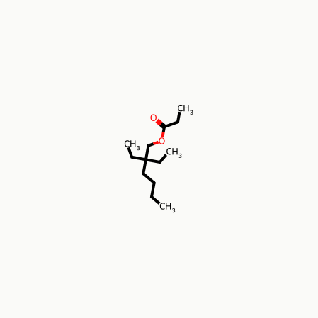 CCCCC(CC)(CC)COC(=O)CC